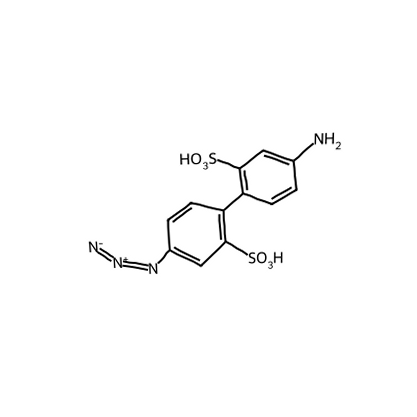 [N-]=[N+]=Nc1ccc(-c2ccc(N)cc2S(=O)(=O)O)c(S(=O)(=O)O)c1